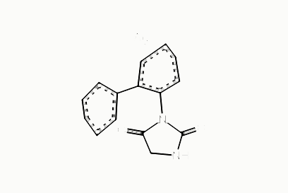 O=C1CNC(=O)N1c1ccccc1-c1ccccc1.[Ag]